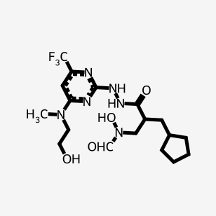 CN(CCO)c1cc(C(F)(F)F)nc(NNC(=O)C(CC2CCCC2)CN(O)C=O)n1